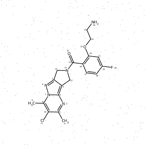 Cc1nc2c3c(nn2c(C)c1Cl)CN(C(=O)c1ccc(F)cc1OCCN)C3